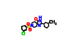 CC1CCCC(C2=NC3(CCN(S(=O)(=O)c4cccc(Cl)c4)CC3)C(=O)N2)C1